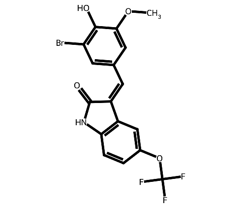 COc1cc(/C=C2\C(=O)Nc3ccc(OC(F)(F)F)cc32)cc(Br)c1O